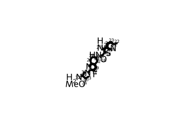 COC[C@H]1CN(c2nc3c(cc2F)C[C@@H](NC(=O)c2sc4nc(C)ccc4c2N)CC3)C[C@H]1N